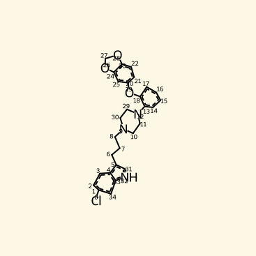 Clc1ccc2c(CCCN3CCN(c4ccccc4Oc4ccc5c(c4)OCO5)CC3)c[nH]c2c1